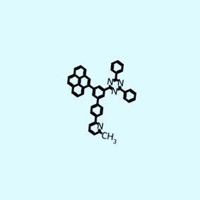 Cc1cccc(-c2ccc(-c3cc(-c4nc(-c5ccccc5)nc(-c5ccccc5)n4)cc(-c4cc5cccc6ccc7cccc4c7c65)c3)cc2)n1